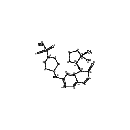 CNS(=O)(=O)N1CCC(Nc2ncc3ccc(=O)n([C@H]4CCC[C@]4(C)O)c3n2)CC1